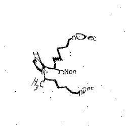 CCCCCCCCCCCCCCCC(CCCCCCCCC)c1[nH]cc[n+]1C(C)CCCCCCCCCCCCCC